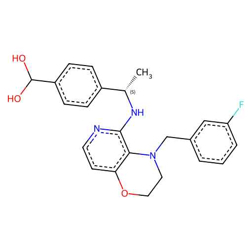 C[C@H](Nc1nccc2c1N(Cc1cccc(F)c1)CCO2)c1ccc(C(O)O)cc1